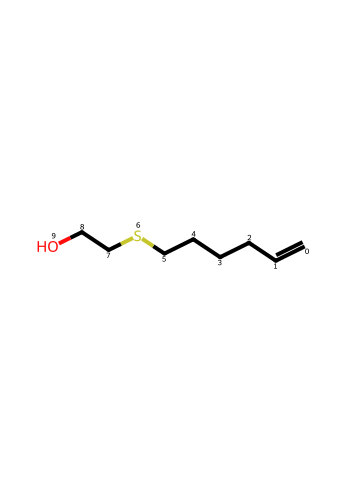 C=CCCCCSCCO